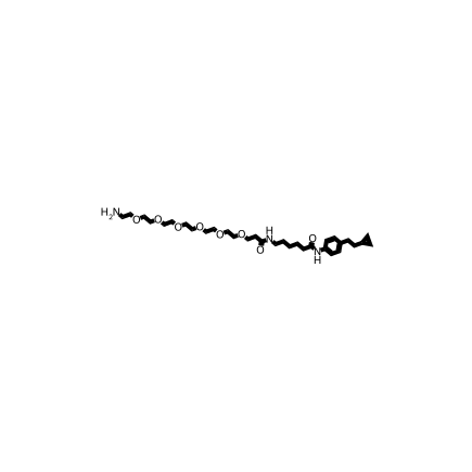 NCCOCCOCCOCCOCCOCCOCCC(=O)NCCCCCC(=O)Nc1ccc(CCC2CC2)cc1